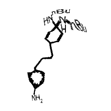 CCCCNC1(NCCCC)C=CC(CCc2ccc(N)cc2)C=C1